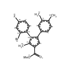 COC(=O)c1cc(-c2ccc(C)c(C)c2)n(-c2ccc(F)cc2Br)c1C